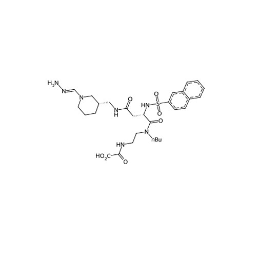 CCCCN(CCNC(=O)C(=O)O)C(=O)[C@H](CC(=O)NC[C@@H]1CCCN(C=NN)C1)NS(=O)(=O)c1ccc2ccccc2c1